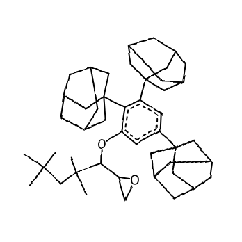 CC(C)(C)CC(C)(C)C(Oc1cc(C23CC4CC(CC(C4)C2)C3)cc(C23CC4CC(CC(C4)C2)C3)c1C12CC3CC(CC(C3)C1)C2)C1CO1